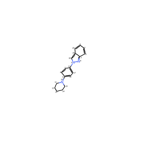 c1ccc2nn(-c3ccc(N4CCCCC4)cc3)cc2c1